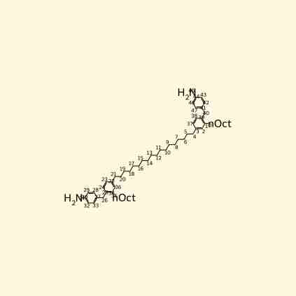 CCCCCCCCc1cc(CCCCCCCCCCCCCCCCCCc2ccc(Cc3ccc(N)cc3)c(CCCCCCCC)c2)ccc1Cc1ccc(N)cc1